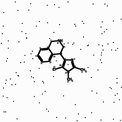 Cc1nc(C2CNCc3ccccc32)c(Cl)n1C